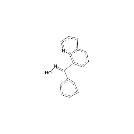 ON=C(c1ccccc1)c1cccc2cccnc12